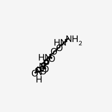 NCCNCCOCCOCCC(=O)Nc1ccc2c(c1)CN(C1CCC(=O)NC1=O)C2=O